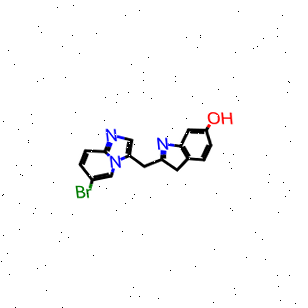 Oc1ccc2c(c1)N=C(Cc1cnc3ccc(Br)cn13)C2